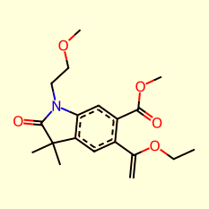 C=C(OCC)c1cc2c(cc1C(=O)OC)N(CCOC)C(=O)C2(C)C